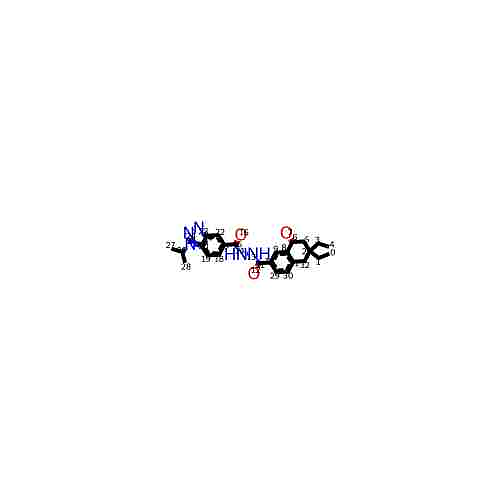 CCC1(CC)CC(=O)c2cc(C(=O)NNC(=O)c3ccc4c(c3)nnn4C(C)C)ccc2C1